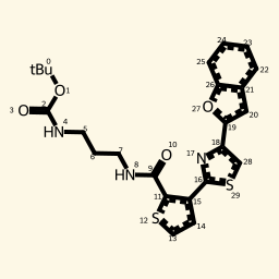 CC(C)(C)OC(=O)NCCCNC(=O)c1sccc1-c1nc(-c2cc3ccccc3o2)cs1